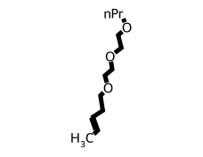 CC=CCCOCCOCCOCCC